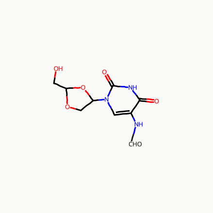 O=CNc1cn(C2COC(CO)O2)c(=O)[nH]c1=O